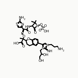 CC(O/N=C(\C(=O)NC1C(=O)N(OS(=O)(=O)O)C1(C)C)c1csc(N)n1)(C(=O)O)C1CCc2cc(-c3cn(CCCN)c(=N)n3CC(O)CO)ccc2O1